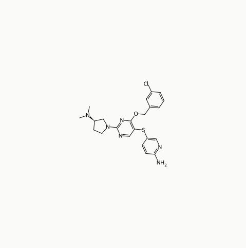 CN(C)[C@@H]1CCN(c2ncc(Sc3ccc(N)nc3)c(OCc3cccc(Cl)c3)n2)C1